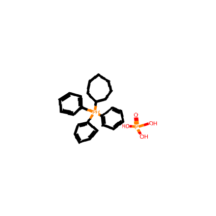 O=P(O)(O)O.c1ccc([PH](c2ccccc2)(c2ccccc2)C2CCCCCC2)cc1